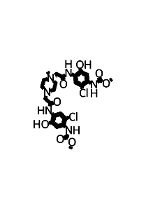 COC(=O)Nc1cc(O)c(NC(=O)CN2CC[N+](C)(CC(=O)Nc3cc(Cl)c(NC(=O)OC)cc3O)CC2)cc1Cl